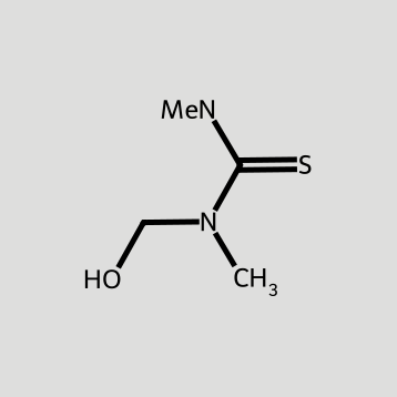 CNC(=S)N(C)CO